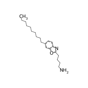 CCCCCCCCCCc1ccc2nc(CCCCN)oc2c1